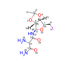 CC1(C)O[C@@H]2[C@H](O1)[C@@H](CI)O[C@H]2NC(=O)C(N)C(N)=O